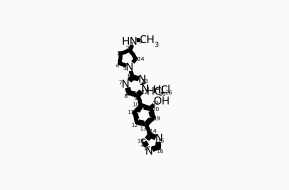 CNC1CCN(c2ncc(-c3ccc(-c4ncns4)cc3O)nn2)C1.Cl.Cl